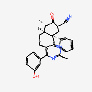 Cc1nc(-c2cccc(O)c2)c2c(n1)[C@]1(c3ccccc3)CC(C#N)C(=O)[C@@H](C)[C@@H]1CC2